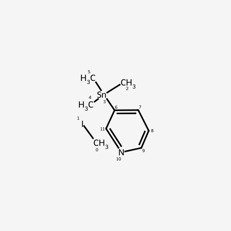 CI.[CH3][Sn]([CH3])([CH3])[c]1cccnc1